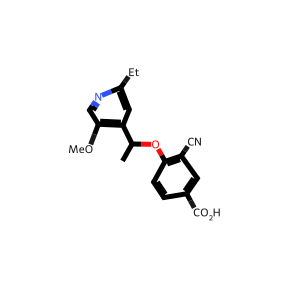 CCc1cc(C(C)Oc2ccc(C(=O)O)cc2C#N)c(OC)cn1